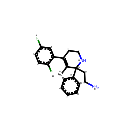 CC(=O)C1=C(c2cc(F)ccc2F)CCNC1(CCN)c1ccccc1